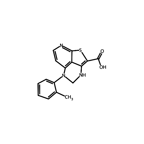 Cc1ccccc1N1CNc2c(C(=O)O)sc3nccc1c23